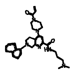 C=CC(=O)N1CCN(c2cc(C(=O)NCCCN(C)C)nc3c2CCN(c2cccc4ccccc24)C3)CC1